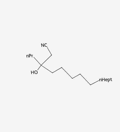 CCCCCCCCCCCCC(O)(CC#N)CCC